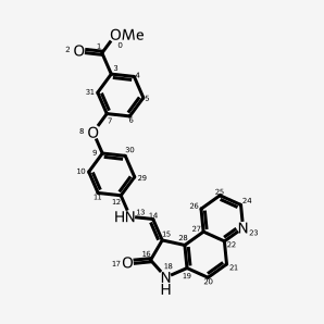 COC(=O)c1cccc(Oc2ccc(N/C=C3\C(=O)Nc4ccc5ncccc5c43)cc2)c1